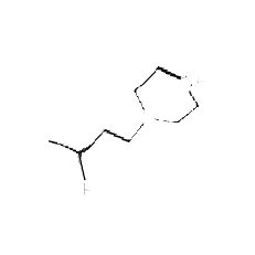 FC(F)CCN1CCNCC1